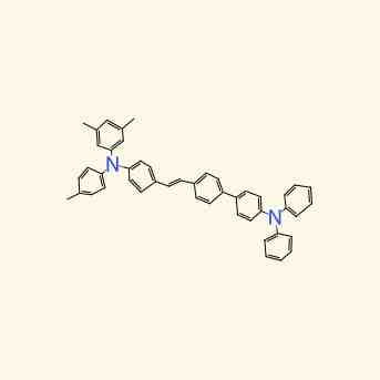 Cc1ccc(N(c2ccc(/C=C/c3ccc(-c4ccc(N(c5ccccc5)c5ccccc5)cc4)cc3)cc2)c2cc(C)cc(C)c2)cc1